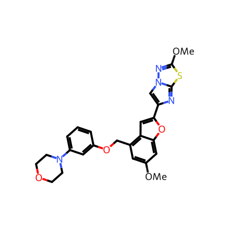 COc1cc(COc2cccc(N3CCOCC3)c2)c2cc(-c3cn4nc(OC)sc4n3)oc2c1